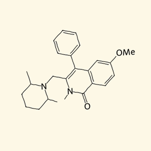 COc1ccc2c(=O)n(C)c(CN3C(C)CCCC3C)c(-c3ccccc3)c2c1